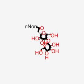 CCCCCCCCCC(=O)C[C@@H]1O[C@H](CO)[C@@H](OC2O[C@H](CO)[C@H](O)[C@H](O)[C@H]2O)[C@H](O)[C@H]1O